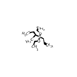 C=CC[Si](OCC)(OCC)C(C)CC